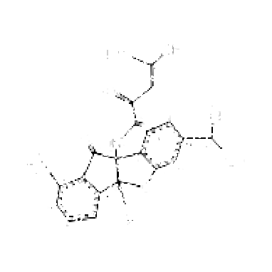 CC(C)CC(=O)C(=O)NC12C(=O)c3c(N)cccc3C1(O)Oc1cc(C(C)C)ccc12